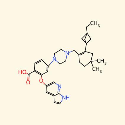 CCC12CC(C3=C(CN4CCN(c5ccc(C(=O)O)c(Oc6cnc7[nH]ccc7c6)c5)CC4)CCC(C)(C)C3)(C1)C2